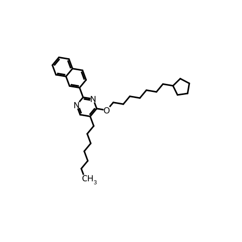 CCCCCCCc1cnc(-c2ccc3ccccc3c2)nc1OCCCCCCCC1CCCC1